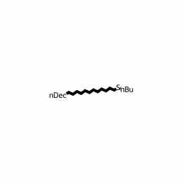 CCCCCCCCCCCCCCCCCCCCCCSCCCC